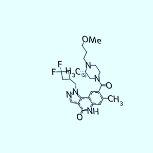 COCCCN1CCN(C(=O)c2cc3c(cc2C)[nH]c(=O)c2cnn(CC4CC(F)(F)C4)c23)C[C@@H]1C